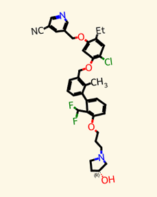 CCc1cc(Cl)c(OCc2cccc(-c3cccc(OCCCN4CC[C@@H](O)C4)c3C(F)F)c2C)cc1OCc1cncc(C#N)c1